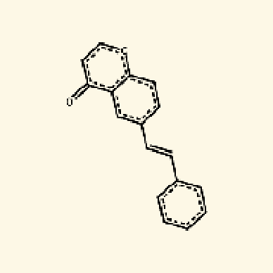 O=c1ccoc2ccc(/C=C/c3ccccc3)cc12